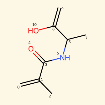 C=C(C)C(=O)NC(C)C(=C)O